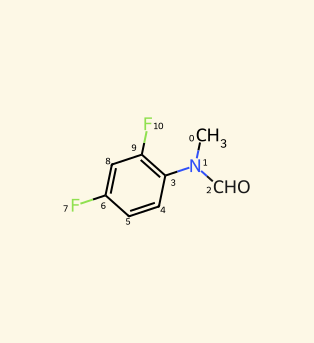 CN(C=O)c1ccc(F)cc1F